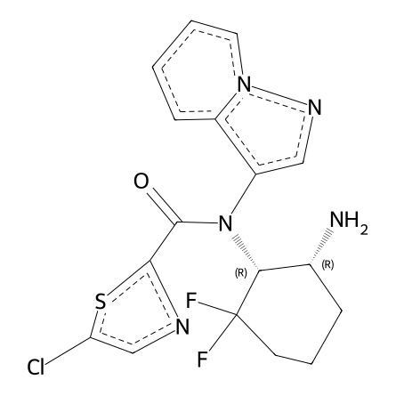 N[C@@H]1CCCC(F)(F)[C@@H]1N(C(=O)c1ncc(Cl)s1)c1cnn2ccccc12